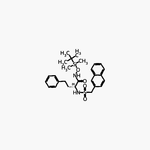 CC(C)(C)[Si](C)(C)ONC(=O)[C@@H](CCc1ccccc1)NS(=O)(=O)Cc1ccc2ccccc2c1